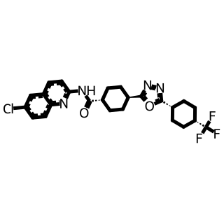 O=C(Nc1ccc2cc(Cl)ccc2n1)[C@H]1CC[C@H](c2nnc([C@H]3CC[C@@H](C(F)(F)F)CC3)o2)CC1